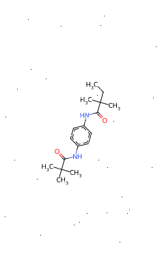 CCC(C)(C)C(=O)Nc1ccc(NC(=O)C(C)(C)C)cc1